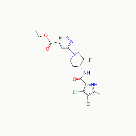 CCOC(=O)c1ccnc(N2CC[C@@H](NC(=O)c3[nH]c(C)c(Cl)c3Cl)[C@@H](F)C2)c1